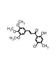 COc1cc(C=CC(=O)c2cc(Cl)c(C)cc2O)cc(OC)c1OC